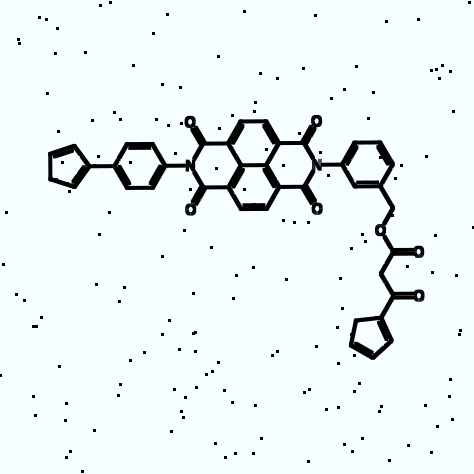 O=C(CC(=O)C1=CC=CC1)OCc1cccc(N2C(=O)c3ccc4c5c(ccc(c35)C2=O)C(=O)N(c2ccc(C3=CCC=C3)cc2)C4=O)c1